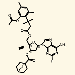 C#C[C@]1(COC(=O)CC(C)(C)c2c(C)cc(C)cc2OC(C)=O)O[C@@H](n2cnc3c(N)nc(F)nc32)C[C@@H]1OC(=O)C12CCC(CC1)CC2